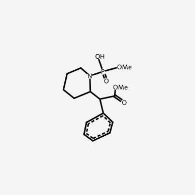 COC(=O)C(c1ccccc1)C1CCCCN1P(=O)(O)OC